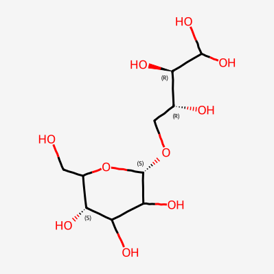 OCC1O[C@H](OC[C@@H](O)[C@@H](O)C(O)O)C(O)C(O)[C@@H]1O